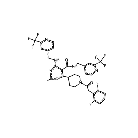 Cc1nc(NCc2ccnc(C(F)(F)F)c2)c(C(=O)NCc2ccnc(C(F)(F)F)c2)c(C2CCN(C(=O)Cc3c(F)cccc3F)CC2)n1